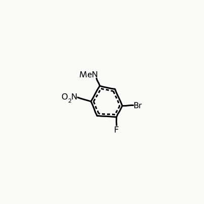 CNc1cc(Br)c(F)cc1[N+](=O)[O-]